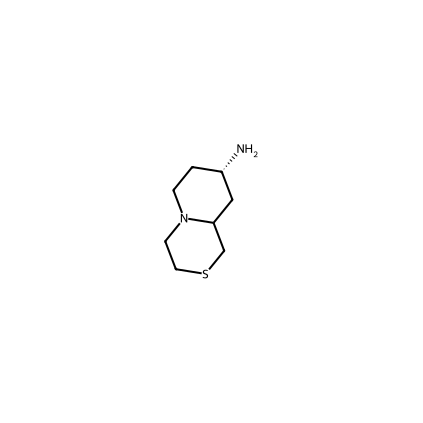 N[C@H]1CCN2CCSCC2C1